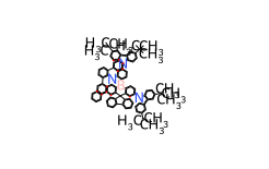 CC(C)(C)c1ccc2c(c1)c1cc(C(C)(C)C)ccc1n2-c1ccc2c(c1)N(c1c(-c3ccccc3)cccc1-c1ccccc1)c1cc(-c3ccccc3)cc3c1B2c1ccc(-n2c4ccc(C(C)(C)C)cc4c4cc(C(C)(C)C)ccc42)cc1C31c2ccccc2-c2ccccc21